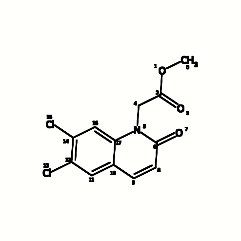 COC(=O)Cn1c(=O)ccc2cc(Cl)c(Cl)cc21